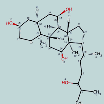 CC(C)C(O)CC[C@@H](C)[C@H]1CC[C@H]2[C@@H]3[C@H](O)C[C@@H]4C[C@H](O)CC[C@]4(C)[C@H]3C[C@H](O)[C@]12C